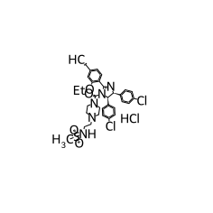 C#Cc1ccc(C2=N[C@@H](c3ccc(Cl)cc3)[C@@H](c3ccc(Cl)cc3)N2C(=O)N2CCN(CCNS(C)(=O)=O)CC2)c(OCC)c1.Cl